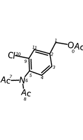 CC(=O)OCc1ccc(N(C(C)=O)C(C)=O)c(Cl)c1